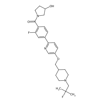 CC(C)(F)CN1CCC(COc2ccc(-c3ccc(C(=O)N4CCC(O)C4)c(F)c3)nc2)CC1